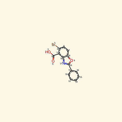 O=C(O)c1c(Br)ccc2oc(-c3ccccc3)nc12